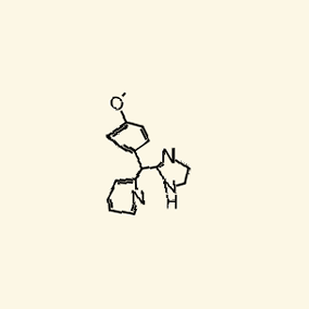 COc1ccc(C(C2=NCCN2)c2ccccn2)cc1